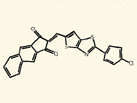 O=C1C(=Cc2cc3sc(-c4ccc(Cl)cc4)nc3s2)C(=O)c2cc3ccccc3cc21